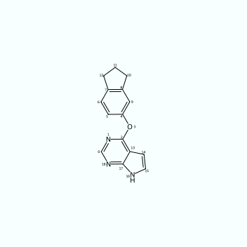 c1nc(Oc2ccc3c(c2)CCC3)c2cc[nH]c2n1